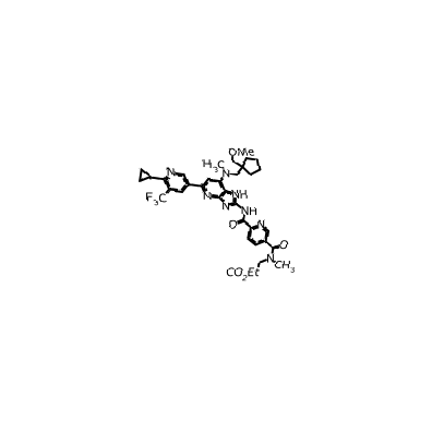 CCOC(=O)CN(C)C(=O)c1ccc(C(=O)Nc2nc3nc(-c4cnc(C5CC5)c(C(F)(F)F)c4)cc(N(C)CC4(COC)CCCC4)c3[nH]2)nc1